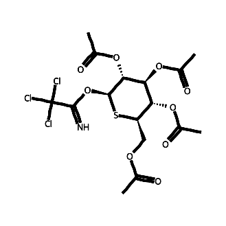 CC(=O)OC[C@H]1S[C@@H](OC(=N)C(Cl)(Cl)Cl)[C@H](OC(C)=O)[C@@H](OC(C)=O)[C@@H]1OC(C)=O